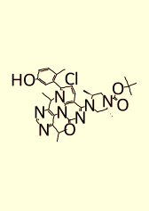 Cc1ccc(O)cc1-c1nc2c(cc1Cl)c(N1C[C@@H](C)N(C(=O)OC(C)(C)C)C[C@@H]1C)nc(=O)n2-c1c(C(C)C)ncnc1C(C)C